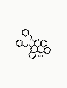 O=C(OCc1ccccc1)C(C(=O)OCc1ccccc1)C(c1ccccc1)c1c(-c2ccccc2)[nH]c2ccccc12